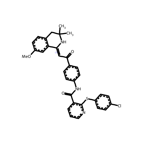 COc1ccc2c(c1)/C(=C/C(=O)c1ccc(NC(=O)c3cccnc3Sc3ccc(Cl)cc3)cc1)NC(C)(C)C2